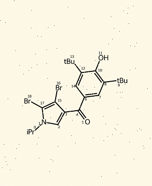 CC(C)n1cc(C(=O)c2cc(C(C)(C)C)c(O)c(C(C)(C)C)c2)c(Br)c1Br